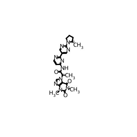 C[C@@H]1CCCN1c1ncc(-c2nccc(NC(=O)[C@@H](C)n3cnc4c3c(=O)n(C)c(=O)n4C)n2)cn1